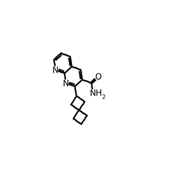 NC(=O)c1cc2cccnc2nc1C1CC2(CCC2)C1